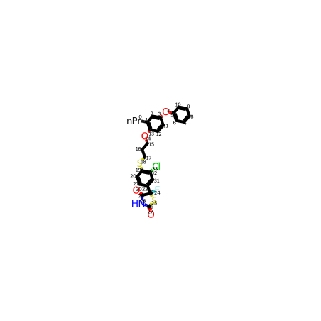 CCCc1cc(Oc2ccccc2)ccc1OCCCSc1ccc(C2(F)SC(=O)NC2=O)cc1Cl